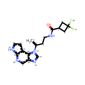 C=C(CCNC(=O)C1CC(F)(F)C1)n1cnc2cnc3[nH]ccc3c21